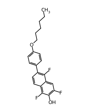 CCCCCCOc1ccc(-c2ccc3c(F)c(O)c(F)cc3c2F)cc1